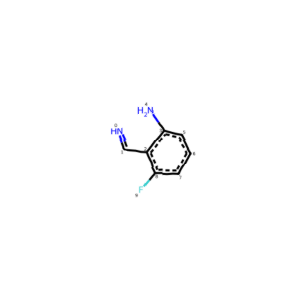 N=Cc1c(N)cccc1F